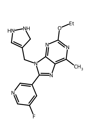 CCOc1nc(C)c2nc(-c3cncc(F)c3)n(CC3=CNNC3)c2n1